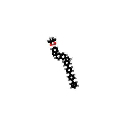 CCC1(c2ccc(B3OC(C)(C)C(C)(C)O3)cc2)CCC2CC(CC)(c3ccc(-c4ccc(-c5ccc(C67CCC(CC6)CC7)cc5)cc4)cc3)CC=C2C1